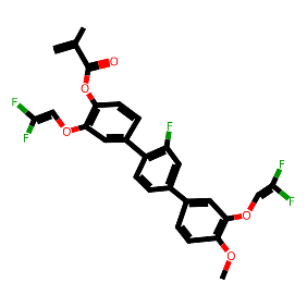 C=C(C)C(=O)Oc1ccc(-c2ccc(-c3ccc(OC)c(OC=C(F)F)c3)cc2F)cc1OC=C(F)F